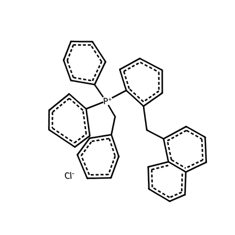 [Cl-].c1ccc(C[P+](c2ccccc2)(c2ccccc2)c2ccccc2Cc2cccc3ccccc23)cc1